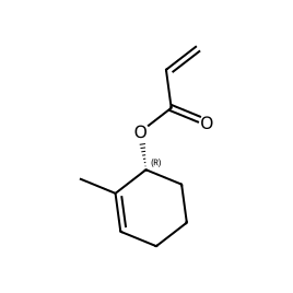 C=CC(=O)O[C@@H]1CCCC=C1C